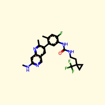 CNc1cc2nc(C)c(-c3cc(NC(=O)NCCC4(C(F)(F)F)CC4)c(F)cc3C)cc2cn1